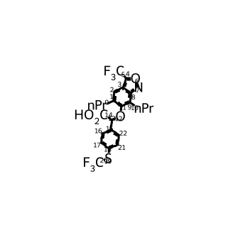 CCCc1cc2c(C(F)(F)F)onc2c(CCC)c1OC(C(=O)O)c1ccc(SC(F)(F)F)cc1